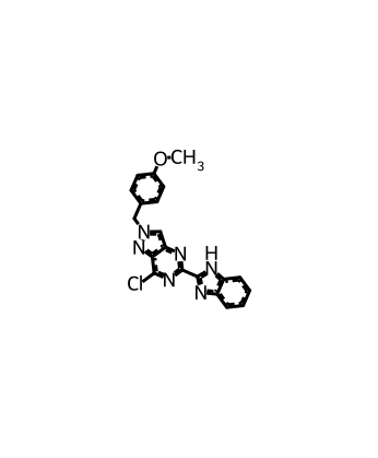 COc1ccc(Cn2cc3nc(-c4nc5ccccc5[nH]4)nc(Cl)c3n2)cc1